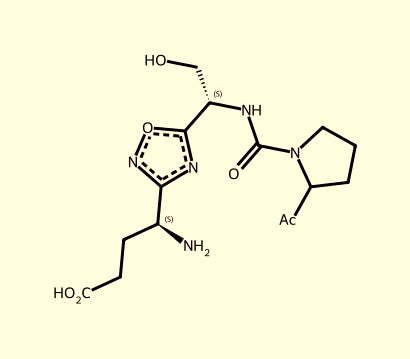 CC(=O)C1CCCN1C(=O)N[C@@H](CO)c1nc([C@@H](N)CCC(=O)O)no1